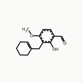 COc1ccc(C=O)c(O)c1CC1=CCCCC1